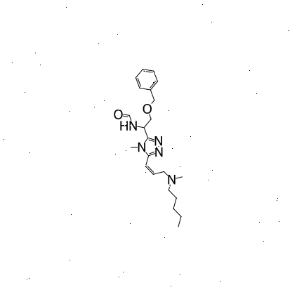 CCCCCN(C)C/C=C\c1nnc(C(COCc2ccccc2)NC=O)n1C